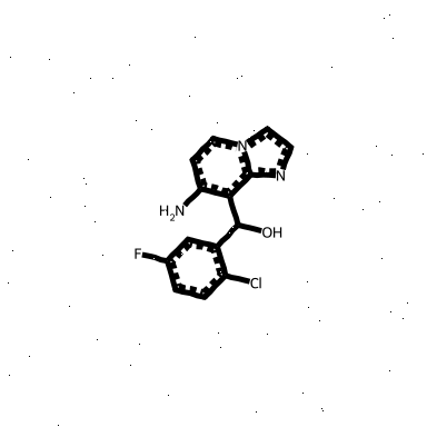 Nc1ccn2ccnc2c1C(O)c1cc(F)ccc1Cl